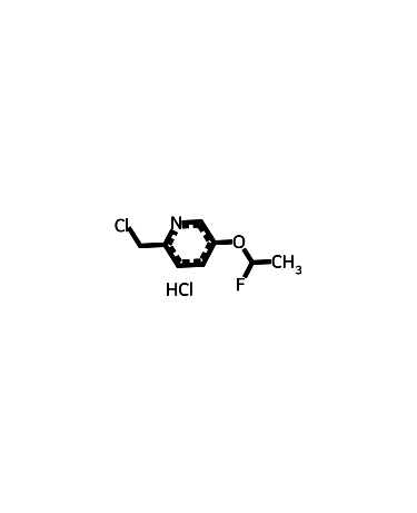 CC(F)Oc1ccc(CCl)nc1.Cl